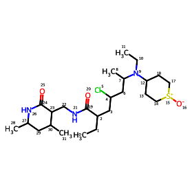 CCC(CC(Cl)CC(C)N(CC)C1CC[S+]([O-])CC1)C(=O)NCC1C(=O)NC(C)CC1C